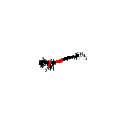 CC(=O)c1cc(C(=O)ON2C(=O)CCC2=O)ccc1NC(=O)CCCCCCCCCCCCCCC(=O)OC(C)(C)C